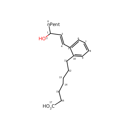 CCCCCC(O)C=Cc1ccccc1CCCCCCC(=O)O